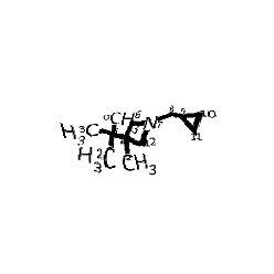 CC(C)(C)C1(C)CN(CC2CC2)C1